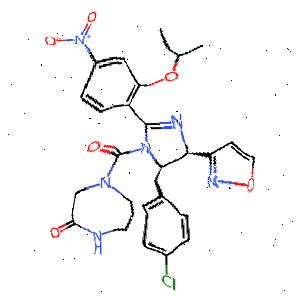 CC(C)Oc1cc([N+](=O)[O-])ccc1C1=N[C@@H](c2ccon2)[C@@H](c2ccc(Cl)cc2)N1C(=O)N1CCNC(=O)C1